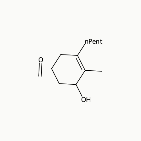 C=O.CCCCCC1=C(C)C(O)CCC1